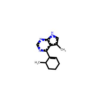 Cc1c[nH]c2ncnc(C3=CCCCC3C)c12